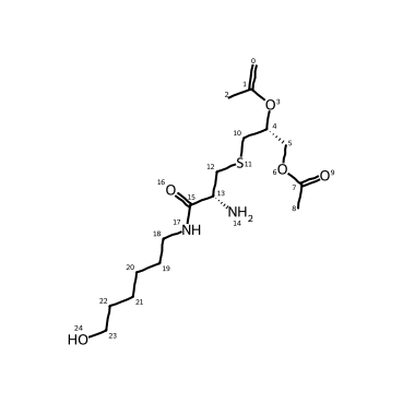 C=C(C)O[C@H](COC(C)=O)CSC[C@H](N)C(=O)NCCCCCCO